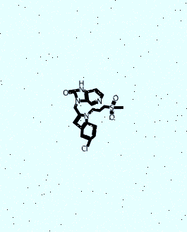 CS(=O)(=O)CCCn1c(Cn2c(=O)[nH]c3ccncc32)cc2cc(Cl)ccc21